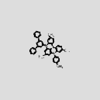 Cc1ccc(N2c3cc(C)ccc3B3c4ccc(C)cc4N(c4cc(-c5ccccc5)cc(-c5ccccc5)c4)c4cc(C)cc2c43)cc1